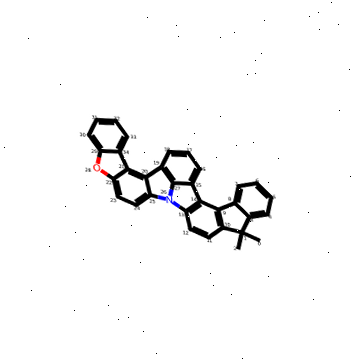 CC1(C)c2ccccc2-c2c1ccc1c2c2cccc3c4c5c(ccc4n1c23)oc1ccccc15